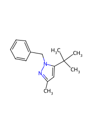 Cc1cc(C(C)(C)C)n(Cc2ccccc2)n1